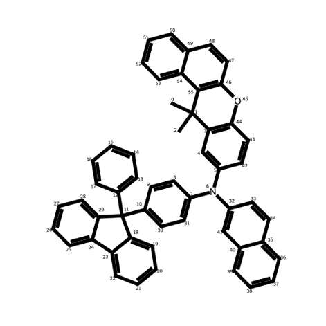 CC1(C)c2cc(N(c3ccc(C4(c5ccccc5)c5ccccc5-c5ccccc54)cc3)c3ccc4ccccc4c3)ccc2Oc2ccc3ccccc3c21